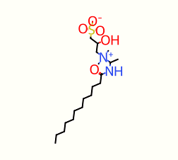 CCCCCCCCCCCC(=O)NC(C)[N+](C)(C)CC(O)CS(=O)(=O)[O-]